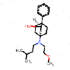 COCCN(CCC(C)C)C12CCC(c3ccccc3)(CC1)[C@H](O)C2